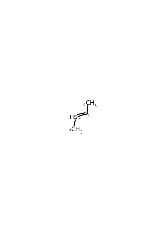 CC=[SH]C